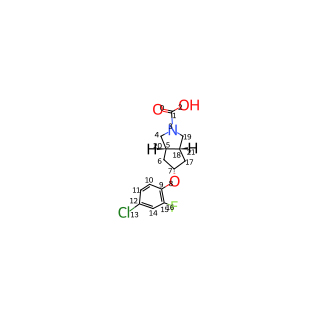 O=C(O)N1C[C@H]2C[C@@H](Oc3ccc(Cl)cc3F)C[C@H]2C1